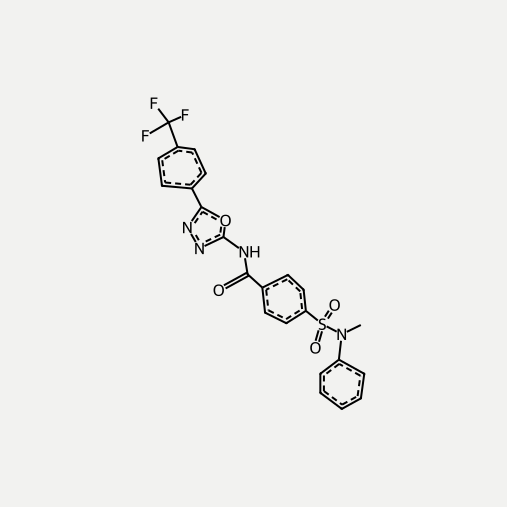 CN(c1ccccc1)S(=O)(=O)c1ccc(C(=O)Nc2nnc(-c3ccc(C(F)(F)F)cc3)o2)cc1